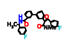 CNC(=O)c1c(-c2ccc(F)cc2)oc2ccc(-c3cccc(C(=O)N[C@H](C)c4ccc(F)cc4)c3)cc12